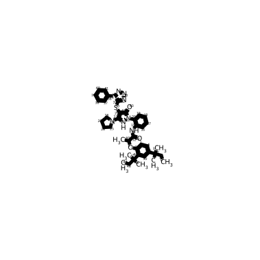 CCC(C)(C)c1ccc(OC(C)C(=O)Nc2ccccc2-n2[nH]c(N3CCCC3)c(Sc3nnnn3-c3ccccc3)c2=O)c(C(C)(C)CC)c1